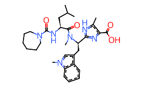 Cc1[nH]c([C@@H](Cc2cn(C)c3ccccc23)N(C)C(=O)[C@H](CC(C)C)NC(=O)N2CCCCCC2)nc1C(=O)O